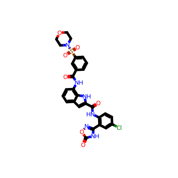 O=C(Nc1cccc2cc(C(=O)Nc3ccc(Cl)cc3-c3noc(=O)[nH]3)[nH]c12)c1cccc(S(=O)(=O)N2CCOCC2)c1